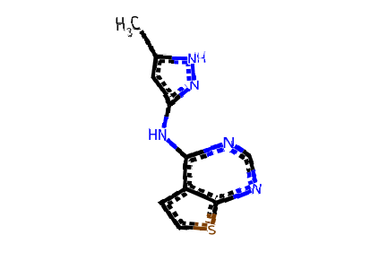 Cc1cc(Nc2ncnc3sccc23)n[nH]1